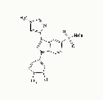 CNS(=O)(=O)c1ccc2c(c1)c(-c1cn(C)cn1)cn2-c1ccc(C(F)(F)F)c(Cl)c1